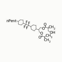 C=C(C)C(=O)OCC(COC(=O)C(=C)CO)C1CCC(C(F)(F)C(F)(F)C2CCC(CCCCC)CC2)CC1